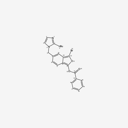 CCCCc1nccn1Cc1ccc2c(OC(=O)c3ccccc3)oc(Br)c2c1